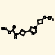 CC(C)(C)OC(=O)NC12CC(c3cn([C@H]4C[C@@H](OC(F)(F)F)C4)cn3)(C1)C2